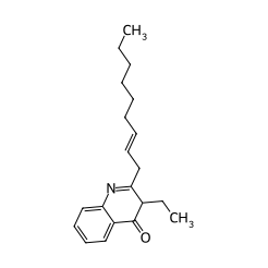 CCCCCCC=CCC1=Nc2ccccc2C(=O)C1CC